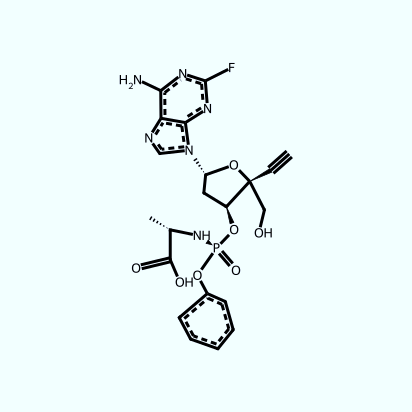 C#C[C@]1(CO)O[C@@H](n2cnc3c(N)nc(F)nc32)C[C@@H]1O[P@@](=O)(N[C@@H](C)C(=O)O)Oc1ccccc1